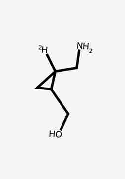 [2H]C1(CN)CC1CO